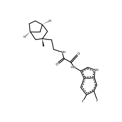 C[C@]1(CCNC(=O)C(=O)Nc2c[nH]c3cc(F)c(F)cc23)C[C@@H]2CC[C@@H](C2)C1